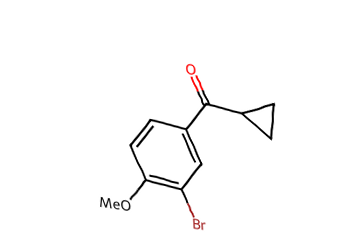 COc1ccc(C(=O)C2CC2)cc1Br